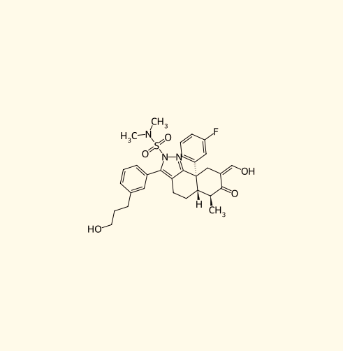 C[C@@H]1C(=O)C(=CO)C[C@]2(c3cccc(F)c3)c3nn(S(=O)(=O)N(C)C)c(-c4cccc(CCCO)c4)c3CC[C@@H]12